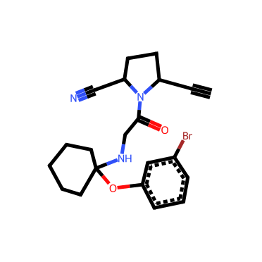 C#CC1CCC(C#N)N1C(=O)CNC1(Oc2cccc(Br)c2)CCCCC1